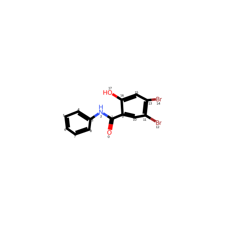 O=C(Nc1ccccc1)c1cc(Br)c(Br)cc1O